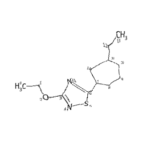 CCOc1nsc(C2CCCC(CC)C2)n1